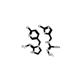 CN/C(=N\[N+](=O)[O-])NCc1cnc(Cl)s1.O=[N+]([O-])/N=C1\NCCN1Cc1ccc(Cl)nc1